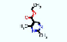 CCOC(=O)c1cnc(C)nc1C